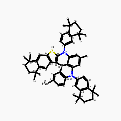 Cc1cc2c3c(c1)N(c1ccc4c(c1)C(C)(C)CCC4(C)C)c1sc4cc5c(cc4c1B3c1cc(C(C)(C)C)ccc1N2c1ccc2c(c1)C(C)(C)CCC2(C)C)C(C)(C)CCC5(C)C